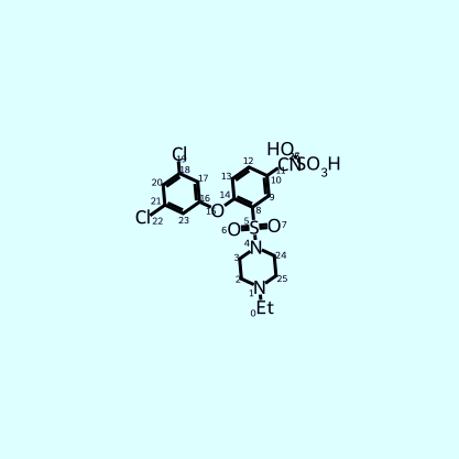 CCN1CCN(S(=O)(=O)c2cc(C#N)ccc2Oc2cc(Cl)cc(Cl)c2)CC1.O=S(=O)(O)O